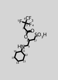 O=C(CC(F)(F)C(F)(F)F)OC(CNC1CCCCC1)CS(=O)(=O)O